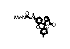 CNC(=O)CN(C)c1ccc2c(c1)Oc1cc(C)ccc1C21OC(=O)c2ccccc21